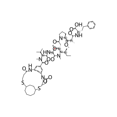 CC[C@H](C)[C@@H]([C@@H](CC(=O)N1CCC[C@H]1[C@H](OC)[C@@H](C)C(=O)N[C@@H](CCc1ccccc1)C(=O)O)OC)N(C)C(=O)[C@@H](NC(=O)[C@H](C(C)C)N(C)C(=O)c1cc2cc(c1)N1C(=O)CC(SC3CCCCC(CC3)SCCC(=O)N2)C1=O)C(C)C